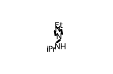 CCN1CCN(CCNC(C)C)CC1